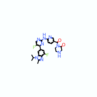 Cc1nc2c(F)cc(-c3nc(Nc4ccc(C(=O)N5CCNCC5=O)cn4)ncc3F)cc2n1C(C)C